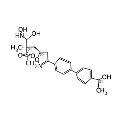 C[C@H](O)c1ccc(-c2ccc(C3=NO[C@@H](C[C@](C)(C(O)NO)S(C)(=O)=O)C3)cc2)cc1